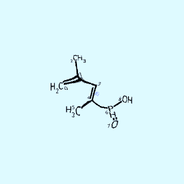 C=C(C)/C=C(\C)[PH](=O)O